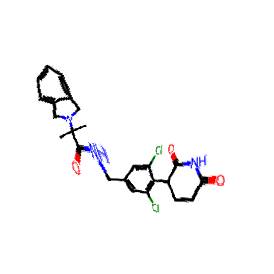 CC(C)(C(=O)NCc1cc(Cl)c(C2CCC(=O)NC2=O)c(Cl)c1)N1Cc2ccccc2C1